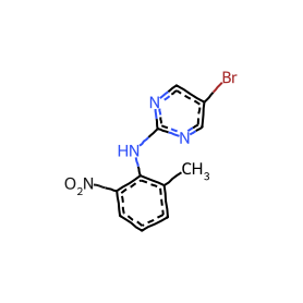 Cc1cccc([N+](=O)[O-])c1Nc1ncc(Br)cn1